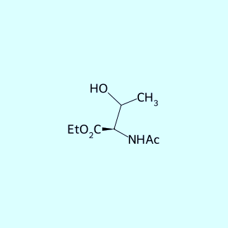 CCOC(=O)[C@H](NC(C)=O)C(C)O